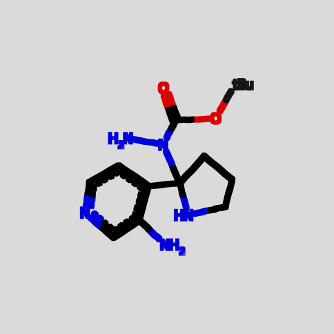 CC(C)(C)OC(=O)N(N)C1(c2ccncc2N)CCCN1